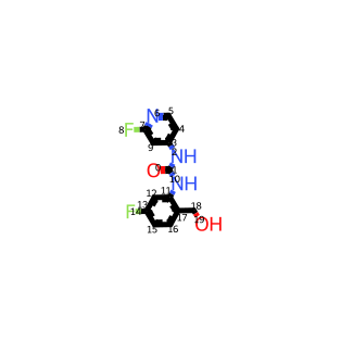 O=C(Nc1ccnc(F)c1)Nc1cc(F)ccc1CO